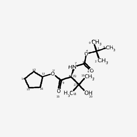 CC(C)(C)OC(=O)N[C@H](C(=O)OC1CCCC1)C(C)(C)O